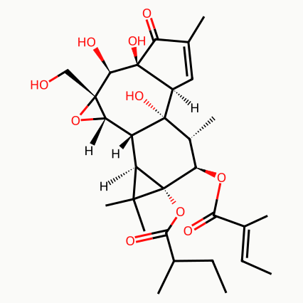 C/C=C(\C)C(=O)O[C@@H]1[C@@H](C)[C@@]2(O)[C@H]([C@@H]3C(C)(C)[C@]13OC(=O)C(C)CC)[C@@H]1O[C@]1(CO)[C@@H](O)[C@]1(O)C(=O)C(C)=C[C@H]12